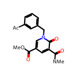 CNC(=O)c1cc(C(=O)OC)cn(Cc2cccc(C(C)=O)c2)c1=O